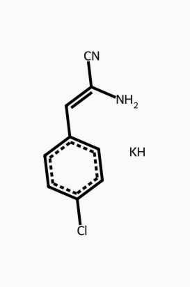 N#CC(N)=Cc1ccc(Cl)cc1.[KH]